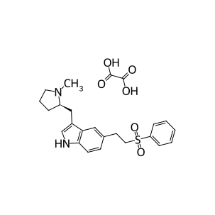 CN1CCC[C@@H]1Cc1c[nH]c2ccc(CCS(=O)(=O)c3ccccc3)cc12.O=C(O)C(=O)O